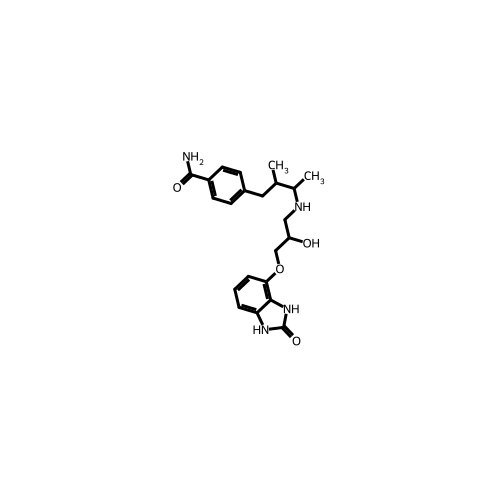 CC(Cc1ccc(C(N)=O)cc1)C(C)NCC(O)COc1cccc2[nH]c(=O)[nH]c12